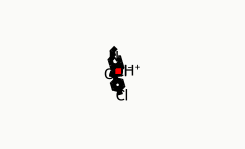 CCN1CC2CN(C)CC(C1)C2OC(=O)c1ccc(Cl)cc1.[Cl-].[H+]